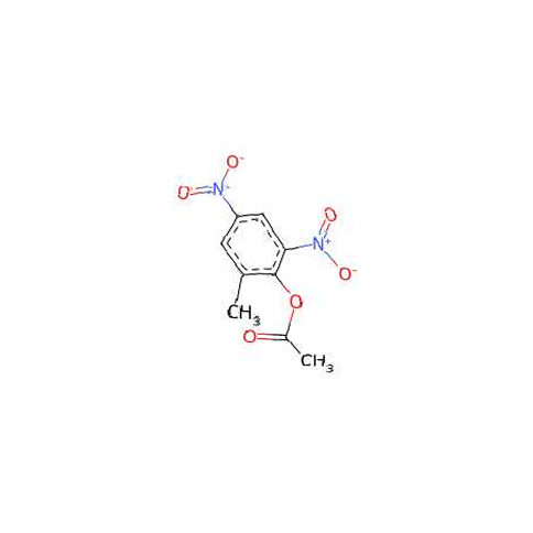 CC(=O)Oc1c(C)cc([N+](=O)[O-])cc1[N+](=O)[O-]